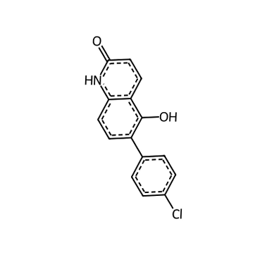 O=c1ccc2c(O)c(-c3ccc(Cl)cc3)ccc2[nH]1